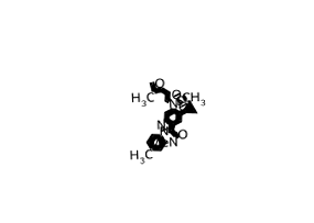 CNC(=O)c1c2cc(C3CC3)c(N(CCC3OCC3C)S(C)(=O)=O)cc2nn1-c1ccc(C)cc1